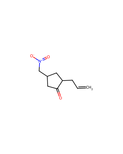 C=CCC1CC(C[N+](=O)[O-])CC1=O